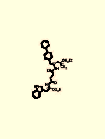 CCOC(=O)[C@H](C)C[C@@H](Cc1ccc(-c2ccccc2)cc1)NC(=O)CCC(=O)N[C@@H](Cc1c[nH]c2ccccc12)C(=O)O